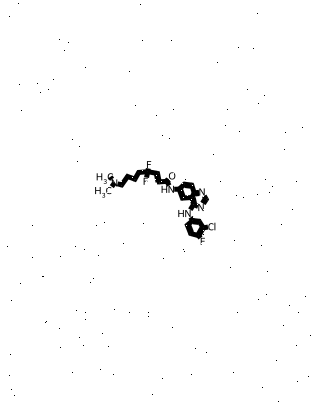 CN(C)CCCCC(F)(F)C=CC(=O)Nc1ccc2ncnc(Nc3ccc(F)c(Cl)c3)c2c1